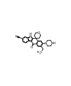 CCc1cc2c(cc1N1CCNCC1)C1(CCOCC1)c1[nH]c3cc(C#N)ccc3c1C2=O